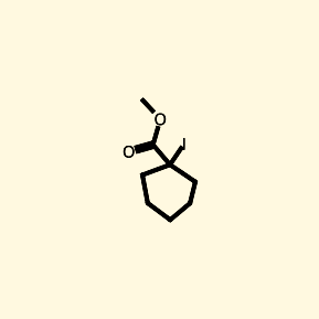 COC(=O)C1(I)CCCCC1